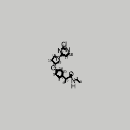 CCNC(=O)C(C)c1ccc(O[C@@H]2CCN(c3ccnc(Cl)n3)C2)cc1